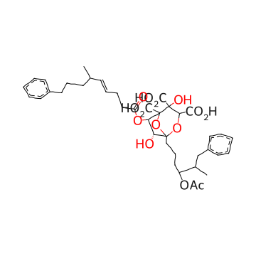 CC(=O)OC(CCCC12OC(C(=O)O)C(O)(C(=O)O)C(C(=O)O)(O1)C(OC(=O)CC/C=C/C(C)CCCc1ccccc1)[C@H]2O)C(C)Cc1ccccc1